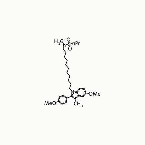 CCCS(=O)(=O)N(C)CCCCCCCCCCCn1c(-c2ccc(OC)cc2)c(C)c2cc(OC)ccc21